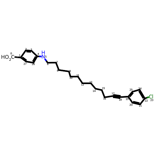 O=C(O)c1ccc(NCCCCCCCCCCCC#Cc2ccc(Cl)cc2)cc1